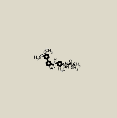 COc1ccc(-c2ccc3ncnc(Nc4ccc(-n5nc(C(=O)N(C)C)nc5C)cc4)c3c2)cc1OC